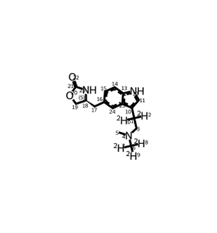 [2H]C([2H])(CN(C)C([2H])([2H])[2H])c1c[nH]c2ccc(C[C@H]3COC(=O)N3)cc12